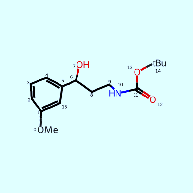 COc1cccc(C(O)CCNC(=O)OC(C)(C)C)c1